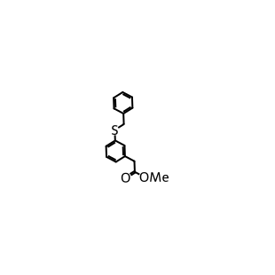 [CH2]OC(=O)Cc1cccc(SCc2ccccc2)c1